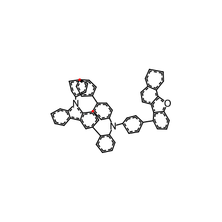 c1ccc(-c2ccc(N(c3ccc(-c4cccc5oc6c7ccccc7ccc6c45)cc3)c3ccccc3-c3ccc4c(c3)c3ccccc3n4-c3ccccc3)cc2)cc1